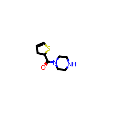 O=C(C1CC=CS1)N1CCNCC1